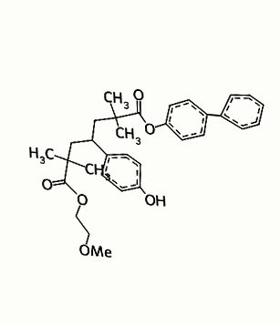 COCCOC(=O)C(C)(C)CC(CC(C)(C)C(=O)Oc1ccc(-c2ccccc2)cc1)c1ccc(O)cc1